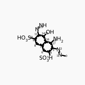 C/N=N/c1c(S(=O)(=O)O)cc2cc(S(=O)(=O)O)c(N=N)c(O)c2c1N